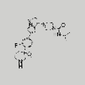 CO[C@]1(c2ccc(-c3cc4c(N5CCN(C(=O)NC(C)C)CC5)ccnn4c3)cc2F)CCCNC1